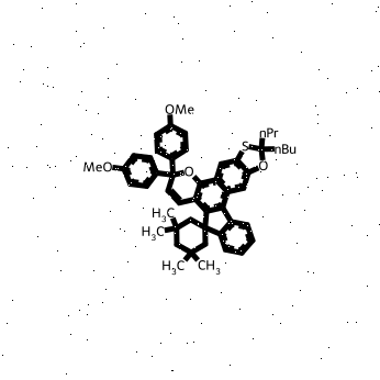 CCCCC1(CCC)Oc2cc3c4c(c5c(c3cc2S1)OC(c1ccc(OC)cc1)(c1ccc(OC)cc1)C=C5)C1(CC(C)(C)CC(C)(C)C1)c1ccccc1-4